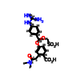 CN(C)C(=O)Cc1cc(OC(=O)c2ccc(NC(=N)N)cc2)ccc1C(=O)O.CS(=O)(=O)O